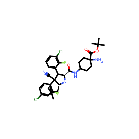 CC(C)(C)C[C@@H]1N[C@@H](C(=O)NC2CCC(N)(C(=O)OC(C)(C)C)CC2)C(c2cccc(Cl)c2F)C1(C#N)c1ccc(Cl)cc1F